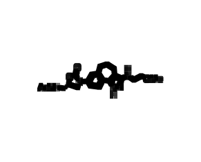 COCCNc1n[nH]c2c1CCCc1cc(N3C[C@H](CNC(C)=O)OC3=O)ccc1-2